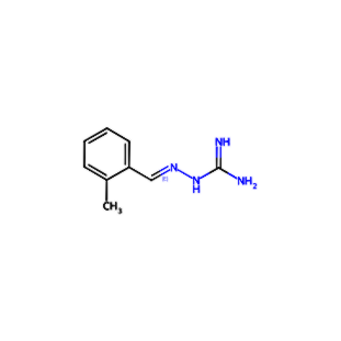 Cc1ccccc1/C=N/NC(=N)N